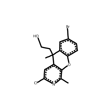 Cc1nc(Cl)cc2c1Oc1ccc(Br)cc1C2(C)CCO